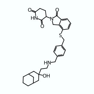 O=C1CCC(N2Cc3c(SCc4ccc(CNCCC5(O)CC6CCCC(C6)C5)cc4)cccc3C2=O)C(=O)N1